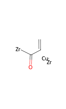 C=C[C](=O)[Zr].[Cu].[Zr]